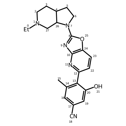 CCN1CCC2CCN(c3nc4nc(-c5c(C)cc(C#N)cc5O)ccc4o3)C2C1